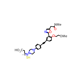 CNC(=O)Cc1cnc(-c2cc(C#Cc3ccc(N4CCN(N(S)[C@H](C)CC(=O)O)CC4)cc3)ccc2OCCOC)o1